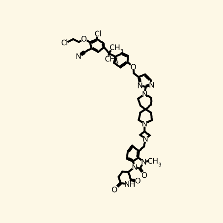 Cn1c(=O)n(C2CCC(=O)NC2=O)c2cccc(CN3CC(N4CCC5(CCN(c6nccc(COc7ccc(C(C)(C)c8cc(Cl)c(OCCCl)c(C#N)c8)cc7)n6)CC5)CC4)C3)c21